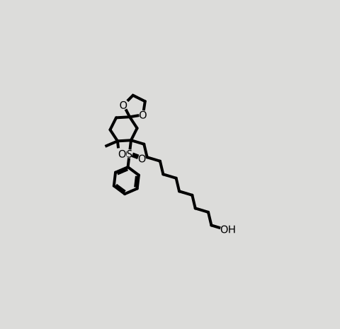 CC1(C)CCC2(CC1(CCCCCCCCCCO)S(=O)(=O)c1ccccc1)OCCO2